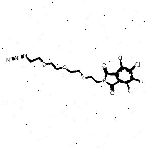 [N-]=[N+]=NCCOCCOCCOCCN1C(=O)c2c(Cl)c(Cl)c(Cl)c(Cl)c2C1=O